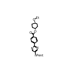 CCCCCc1cnc(-c2ccc(C(=O)O[C@H]3CC[C@H](OCC)CC3)cc2)nc1